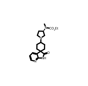 CCOC(=O)N(C)[C@@H]1CCN(C2CCC3(CC2)C(=O)Nc2ncccc23)C1